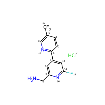 Cl.NCc1cc(-c2ccc(C(F)(F)F)cn2)cc(F)n1